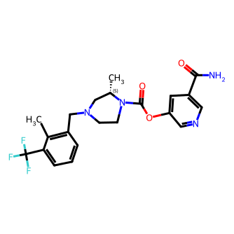 Cc1c(CN2CCN(C(=O)Oc3cncc(C(N)=O)c3)[C@@H](C)C2)cccc1C(F)(F)F